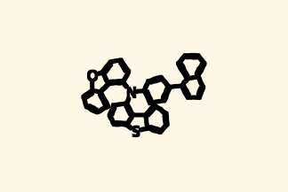 c1ccc2c(-c3ccc(N(c4cccc5oc6ccccc6c45)c4cccc5sc6ccccc6c45)cc3)cccc2c1